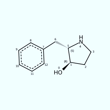 O[C@@H]1CCN[C@H]1Cc1ccccc1